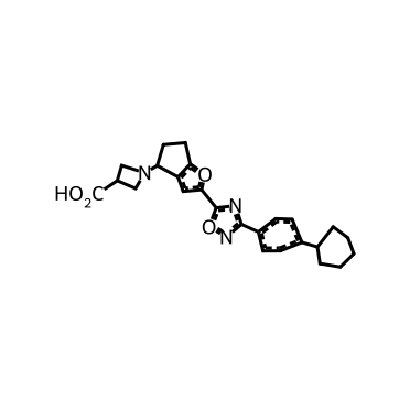 O=C(O)C1CN(C2CCc3oc(-c4nc(-c5ccc(C6CCCCC6)cc5)no4)cc32)C1